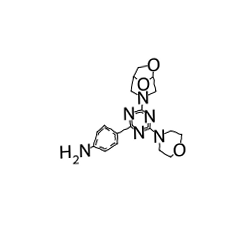 Nc1ccc(-c2nc(N3CCOCC3)nc(N3CC4COC(C3)O4)n2)cc1